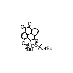 CC(C)(C)CC(C)(C)S(=O)OC1=C2C=CCC3=C2c2c(cccc2C1OS(=O)C(C)(C)C)C(=O)C3=O